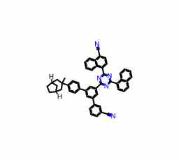 CC1(c2ccc(-c3cc(-c4cccc(C#N)c4)cc(-c4nc(-c5cccc6ccccc56)nc(-c5ccc(C#N)c6ccccc56)n4)c3)cc2)C[C@@H]2CC[C@@H](C2)C1